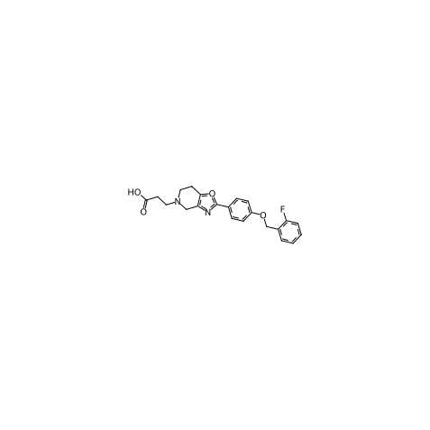 O=C(O)CCN1CCc2oc(-c3ccc(OCc4ccccc4F)cc3)nc2C1